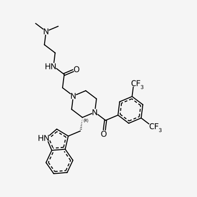 CN(C)CCNC(=O)CN1CCN(C(=O)c2cc(C(F)(F)F)cc(C(F)(F)F)c2)[C@H](Cc2c[nH]c3ccccc23)C1